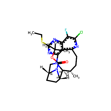 CCSc1nc2c3c(nc(Cl)c(F)c3n1)CC[C@H](C)[C@H]1[C@@H]3CC[C@H](CN21)N3C(=O)OC(C)(C)C